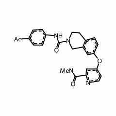 CNC(=O)c1cc(Oc2ccc3c(c2)CN(C(=O)Nc2ccc(C(C)=O)cc2)CC3)ccn1